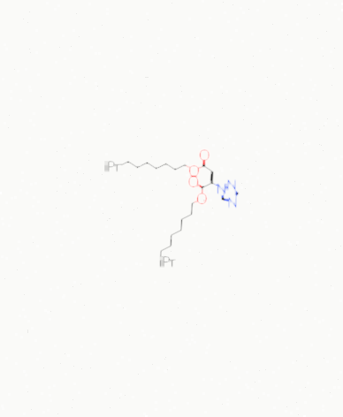 CC(C)CCCCCCCOC(=O)C=C(C(=O)OCCCCCCCC(C)C)n1cncn1